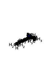 C=C1CCC(c2ccc(N3CCC(N4CCN(c5ccc6[nH]/c(=N\C(=C)c7cc(C)nc(-c8cnn(C)c8CCC)c7)n(CC7CC7)c6c5)CC4)CC3)c(C)n2)C(=C)N1